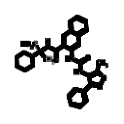 Cc1onc(-c2ccccc2)c1NC(=O)Nc1cc2ccccc2cc1C(=O)N[C@](C)(C(=O)O)C1CCCCC1